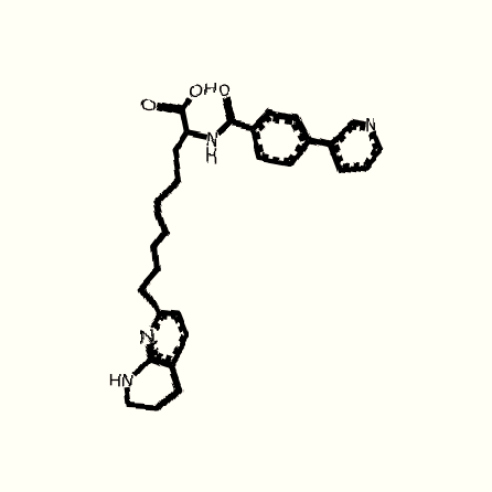 O=C(NC(CCCCCCCc1ccc2c(n1)NCCC2)C(=O)O)c1ccc(-c2cccnc2)cc1